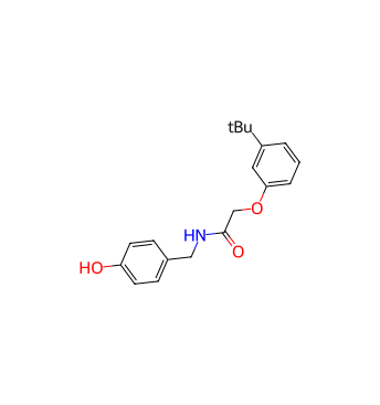 CC(C)(C)c1cccc(OCC(=O)NCc2ccc(O)cc2)c1